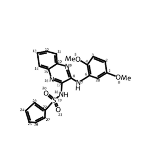 COc1ccc(OC)c(Nc2nc3ccccc3nc2NS(=O)(=O)c2ccccc2)c1